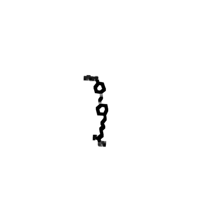 CCCCC[C@H]1CC[C@H](CC[C@H]2CC[C@H](CCC=CC=C(F)C#N)CC2)CC1